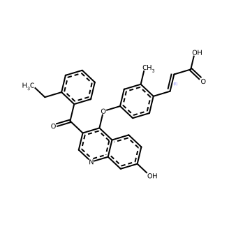 CCc1ccccc1C(=O)c1cnc2cc(O)ccc2c1Oc1ccc(/C=C/C(=O)O)c(C)c1